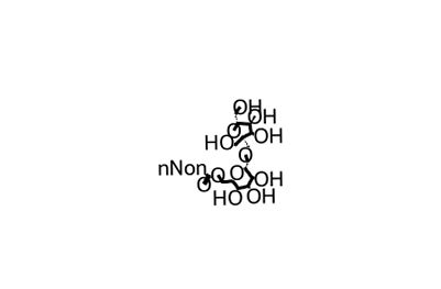 CCCCCCCCCC(=O)OCC1O[C@H](COC[C@]2(CO)O[C@H](CO)[C@@H](O)C2O)C(O)[C@@H](O)[C@@H]1O